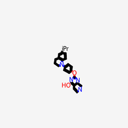 CC(C)c1ccc2c(c1)CCCN2c1ccc(Oc2nc(O)c3ccncc3n2)cc1